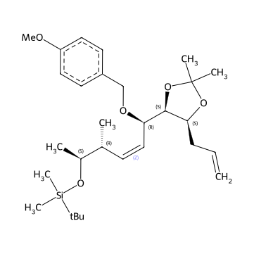 C=CC[C@@H]1OC(C)(C)O[C@@H]1[C@@H](/C=C\[C@@H](C)[C@H](C)O[Si](C)(C)C(C)(C)C)OCc1ccc(OC)cc1